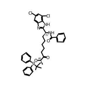 C[C@@H](O[Si](c1ccccc1)(c1ccccc1)C(C)(C)C)C(=O)CCCCC[C@H](NC(=O)c1ccccc1)c1nc2cc(Cl)cc(Cl)c2[nH]1